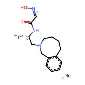 CC[C@H](C)c1ccc2c(c1)CCCCN(C[C@H](C)NC(=O)/C=N\O)C2